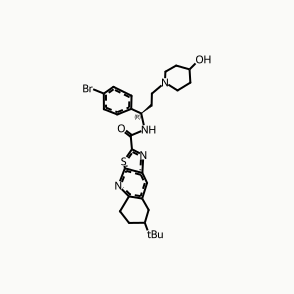 CC(C)(C)C1CCc2nc3sc(C(=O)N[C@H](CCN4CCC(O)CC4)c4ccc(Br)cc4)nc3cc2C1